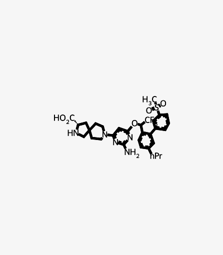 CCCc1ccc(C(Oc2cc(N3CCC4(CC3)CN[C@H](C(=O)O)C4)nc(N)n2)C(F)(F)F)c(-c2cccc(S(C)(=O)=O)c2)c1